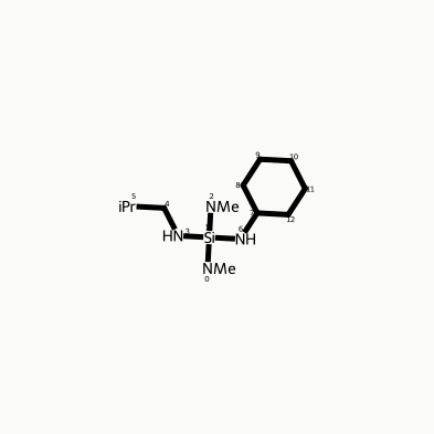 CN[Si](NC)(NCC(C)C)NC1CCCCC1